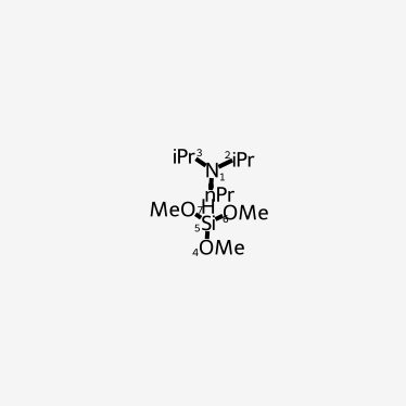 CCCN(C(C)C)C(C)C.CO[SiH](OC)OC